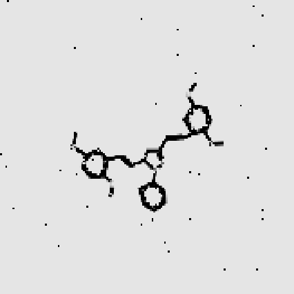 COc1ccc(OC)c(C=CC2=NN(c3ccccc3)C(C=Cc3cc(OC)ccc3OC)C2)c1